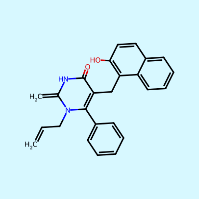 C=CCN1C(=C)NC(=O)C(Cc2c(O)ccc3ccccc23)=C1c1ccccc1